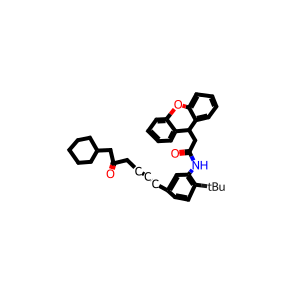 CC(C)(C)c1ccc(CCCCC(=O)CC2CCCCC2)cc1NC(=O)CC1c2ccccc2Oc2ccccc21